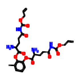 C=CCOC(=O)NC(=O)CC[C@H](N)C(=O)Oc1cccc(C)c1OC(=O)[C@@H](N)CCC(=O)NC(=O)OCC=C